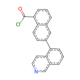 O=C(Cl)c1cccc2cc(-c3cccc4cnccc34)ccc12